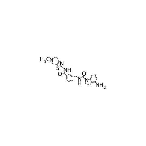 CN1CCc2nc(NC(=O)c3cccc(CNC(=O)N4CCc5c(N)cccc54)c3)sc2C1